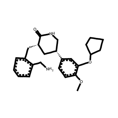 COc1ccc([C@H]2CNC(=O)[C@@H](Cc3ccccc3CN)C2)cc1OC1CCCC1